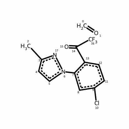 C=O.Cc1ccn(-c2cc(Cl)ccc2C(=O)C(F)(F)F)n1